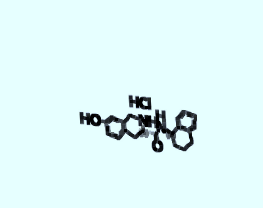 Cl.O=C(N[C@@H]1CCCc2ccccc21)[C@@H]1Cc2ccc(O)cc2CN1